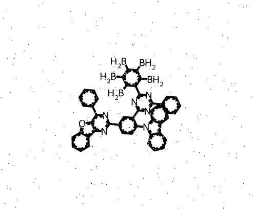 Bc1c(B)c(B)c(-c2nc(-c3ccccc3)nc(-c3cc(-c4nc(-c5ccccc5)c5oc6ccccc6c5n4)ccc3-n3c4ccccc4c4ccccc43)n2)c(B)c1B